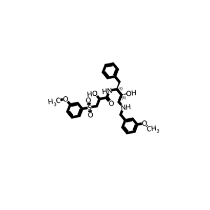 COc1cccc(CNC[C@@H](O)[C@H](Cc2ccccc2)NC(=O)C(O)CS(=O)(=O)c2cccc(OC)c2)c1